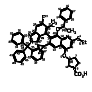 CCSc1cc(O[C@H]2CCN(C(=O)O)C2)c2cc(C3CC3)c(-c3c(C)c(F)cc4nn(C(c5ccccc5)(c5ccccc5)c5ccccc5)cc34)c(O[C@@H](C)c3ccccc3)c2n1